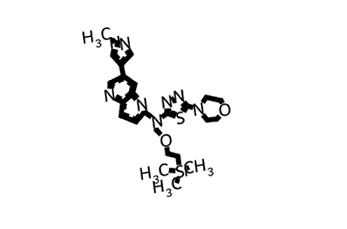 Cn1cc(-c2cnc3ccc(N(COCC[Si](C)(C)C)c4nnc(N5CCOCC5)s4)nc3c2)cn1